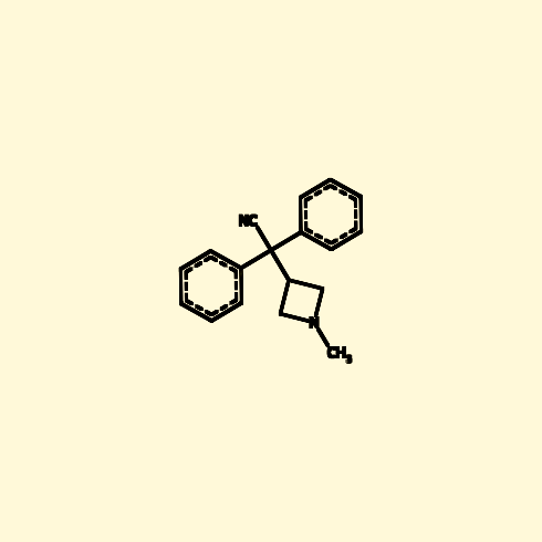 CN1CC(C(C#N)(c2ccccc2)c2ccccc2)C1